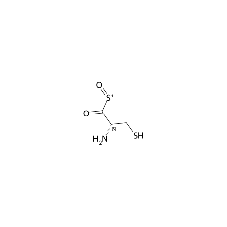 N[C@@H](CS)C(=O)[S+]=O